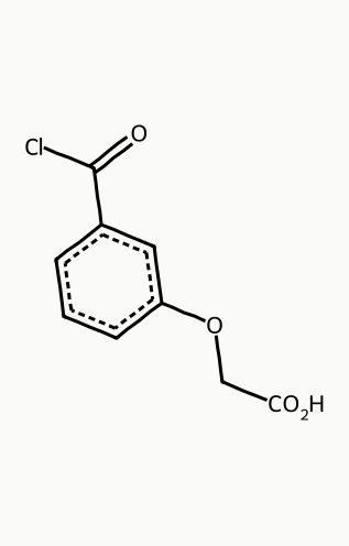 O=C(O)COc1cccc(C(=O)Cl)c1